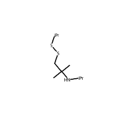 CC(C)NC(C)(C)CSSC(C)C